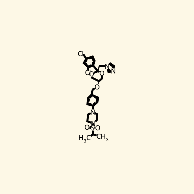 CC(C)S(=O)(=O)N1CCN(c2ccc(CO[C@H]3CO[C@@](Cn4ccnc4)(c4ccc(Cl)cc4Cl)OC3)cc2)CC1